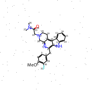 COc1ccc(Cc2nc3c(c4c2[nH]c2ccccc24)CCN(CC(=O)N(C)C)C3)cc1F